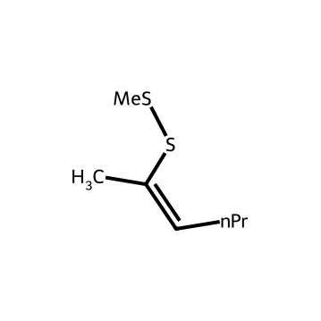 CCC/C=C(/C)SSC